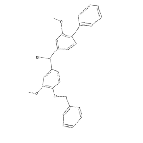 COc1cc(C(Br)c2ccc(-c3ccccc3)c(OC)c2)ccc1OCc1ccccc1